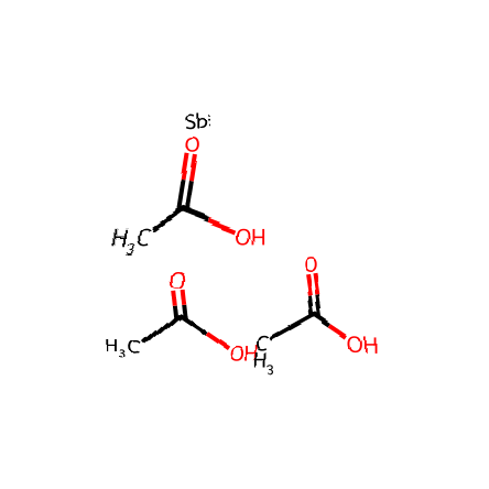 CC(=O)O.CC(=O)O.CC(=O)O.[Sb]